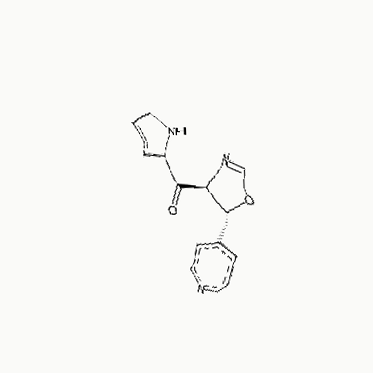 O=C(C1C=CCN1)[C@H]1N=CO[C@@H]1c1ccncc1